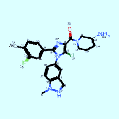 CN1NCc2cc(-n3c(-c4ccc(C#N)c(F)c4)nc(C(=O)N4CCC[C@@H](N)C4)c3Cl)ccc21